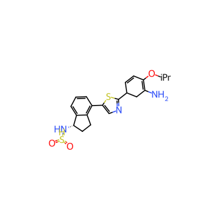 CC(C)OC1=C(N)CC(c2ncc(-c3cccc4c3CC[C@@H]4N[SH](=O)=O)s2)C=C1